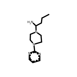 CCCC(N)N1CCN(c2ncccn2)CC1